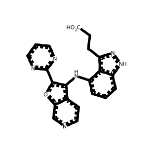 O=C(O)CCc1n[nH]c2cccc(Nc3c(-c4ncccn4)oc4cnccc34)c12